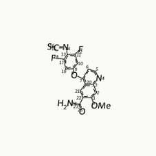 COc1cc2nccc(Oc3cc(F)c(N=C=S)c(F)c3)c2cc1C(N)=O